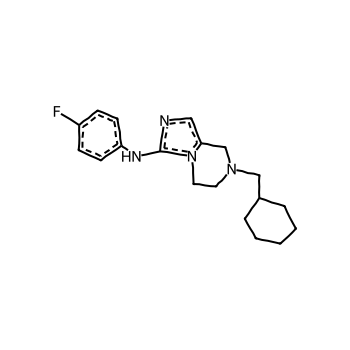 Fc1ccc(Nc2ncc3n2CCN(CC2CCCCC2)C3)cc1